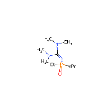 CCCP(=O)(CC)N=C(N(C)C)N(C)C